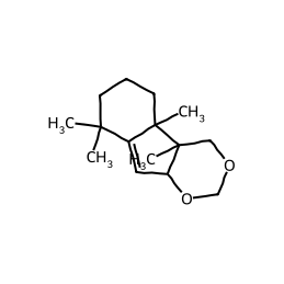 CC1(C)CCCC2(C)C1=CC1OCOCC12C